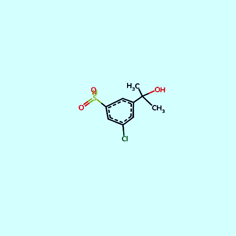 CC(C)(O)c1cc(Cl)cc([SH](=O)=O)c1